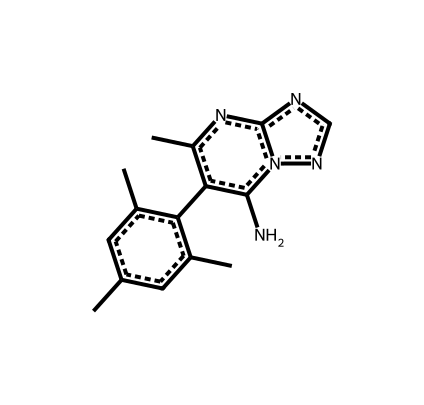 Cc1cc(C)c(-c2c(C)nc3ncnn3c2N)c(C)c1